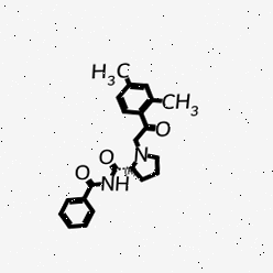 Cc1ccc(C(=O)CN2CCC[C@@H]2C(=O)NC(=O)c2ccccc2)c(C)c1